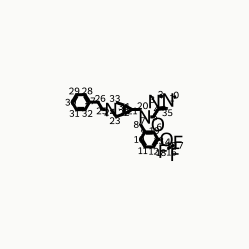 Cn1cnc(C(=O)N(Cc2cccc(OC(F)(F)F)c2)CC2C3CN(CCc4ccccc4)CC32)c1